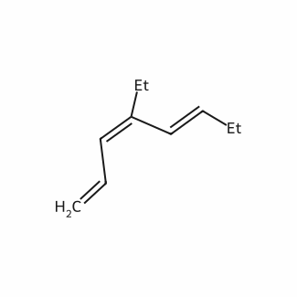 C=C/C=C(\C=C\CC)CC